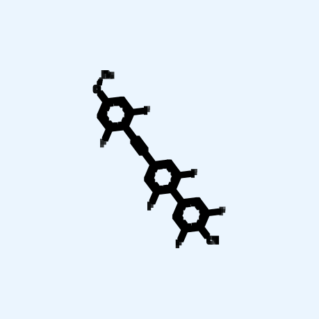 CC[C@@H](C)Oc1cc(F)c(C#Cc2cc(F)c(-c3cc(F)c(C#N)c(F)c3)c(F)c2)c(F)c1